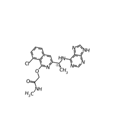 CNC(=O)COc1nc([C@H](C)Nc2ncnc3[nH]cnc23)cc2cccc(Cl)c12